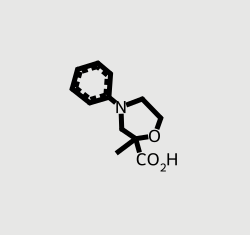 CC1(C(=O)O)CN(c2ccccc2)CCO1